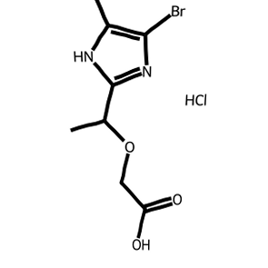 Cc1[nH]c(C(C)OCC(=O)O)nc1Br.Cl